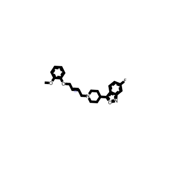 COc1c[c]ccc1OC/C=C/CN1CCC(c2onc3cc(F)ccc23)CC1